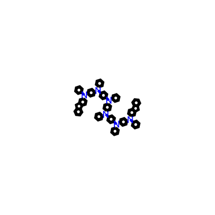 c1ccc(N(c2ccc(N(c3ccccc3)c3ccc(N(c4ccccc4)c4ccc(N(c5ccccc5)c5ccc6c(c5)Cc5ccccc5-6)cc4)cc3)cc2)c2ccc(N(c3ccccc3)c3ccc(N(c4ccccc4)c4ccc5c(c4)Cc4ccccc4-5)cc3)cc2)cc1